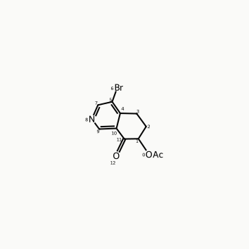 CC(=O)OC1CCc2c(Br)cncc2C1=O